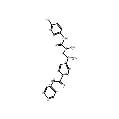 CC(C)(C)c1ccc(NC(=O)N(S)CC(N)c2ccc(C(=O)Nc3ccncc3)cc2)cc1